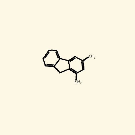 Cc1[c]c(C)c2c(c1)-c1cc[c]cc1C2